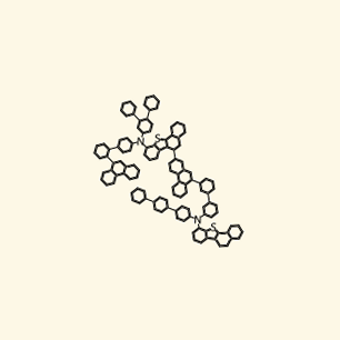 c1ccc(-c2ccc(-c3ccc(N(c4cccc(-c5cccc(-c6cc7cc(-c8cc9ccccc9c9sc%10c(N(c%11ccc(-c%12ccccc%12-c%12cc%13ccccc%13c%13ccccc%12%13)cc%11)c%11ccc(-c%12ccccc%12)c(-c%12ccccc%12)c%11)cccc%10c89)ccc7c7ccccc67)c5)c4)c4cccc5c4sc4c6ccccc6ccc54)cc3)cc2)cc1